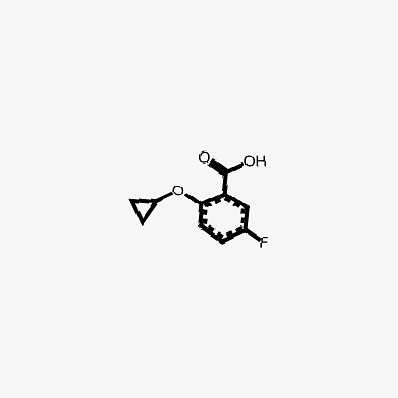 O=C(O)c1cc(F)ccc1OC1CC1